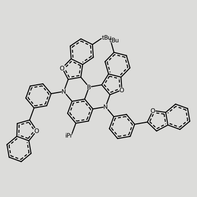 CC(C)c1cc2c3c(c1)N(c1cccc(-c4cc5ccccc5o4)c1)c1oc4ccc(C(C)(C)C)cc4c1B3c1c(oc3ccc(C(C)(C)C)cc13)N2c1cccc(-c2cc3ccccc3o2)c1